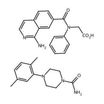 Cc1ccc(C)c(N2CCN(C(N)=O)CC2)c1.Nc1nccc2ccc(C(=O)N(CC(=O)O)c3ccccc3)cc12